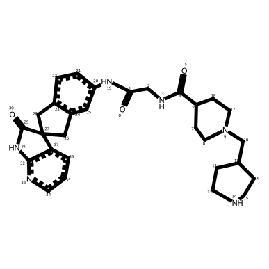 O=C(CNC(=O)C1CCN(CC2CCNCC2)CC1)Nc1ccc2c(c1)CC1(C2)C(=O)Nc2ncccc21